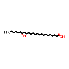 CCCCCCC(O)CCCCCCCCCCCCCCCCC(=O)O